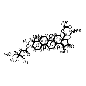 CNC[C@H](OC(=O)C(C)C)[C@@]12CC[C@]3(C)[C@H](CC[C@@H]4[C@@]5(C)CC[C@H](OC(=O)CC(C)(C)C(=O)O)C(C)(C)[C@@H]5CC[C@]43C)C1=C(C(C)C)C(=O)C2